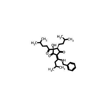 CC(C)CCC(=O)[C@@]1(O)C(=O)/C(=C(\CC(C)C)NCc2ccccc2)C(=O)[C@@H]1CCC(C)C